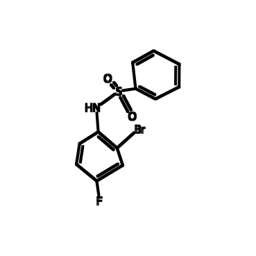 O=S(=O)(Nc1ccc(F)cc1Br)c1ccccc1